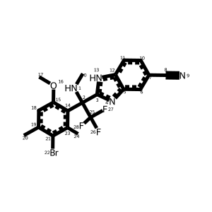 CNC(c1nc2cc(C#N)ccc2[nH]1)(c1c(OC)cc(C)c(Br)c1C)C(F)(F)F